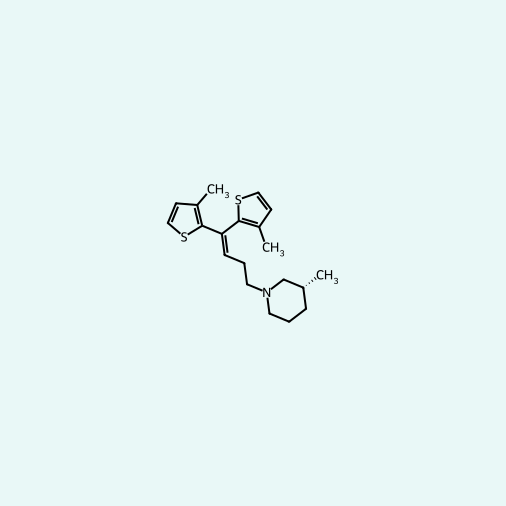 Cc1ccsc1C(=CCCN1CCC[C@@H](C)C1)c1sccc1C